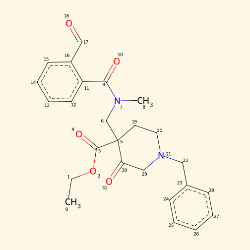 CCOC(=O)C1(CN(C)C(=O)c2ccccc2C=O)CCN(Cc2ccccc2)CC1=O